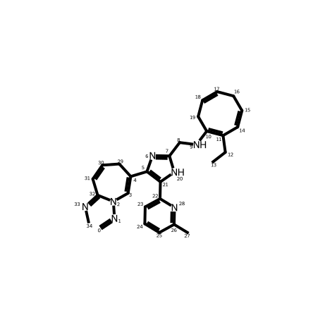 C=NN1C=C(c2nc(CN/C3=C(CC)/C=C\C/C=C\C3)[nH]c2-c2cccc(C)n2)CC=C/C1=N/C